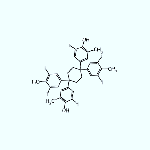 Cc1cc(C2(c3cc(I)c(C)c(I)c3)CCC(c3cc(C)c(O)c(I)c3)(c3cc(I)c(O)c(I)c3)CC2)cc(I)c1O